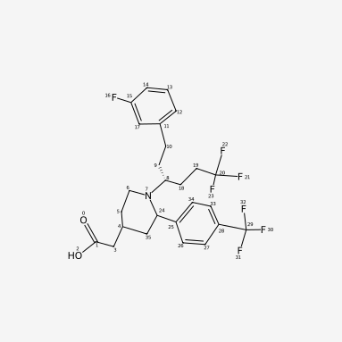 O=C(O)CC1CCN([C@H](CCc2cccc(F)c2)CCC(F)(F)F)C(c2ccc(C(F)(F)F)cc2)C1